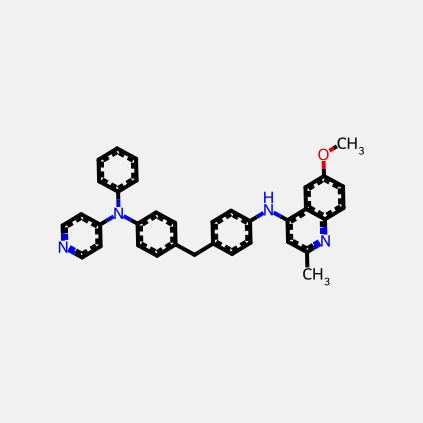 COc1ccc2nc(C)cc(Nc3ccc(Cc4ccc(N(c5ccccc5)c5ccncc5)cc4)cc3)c2c1